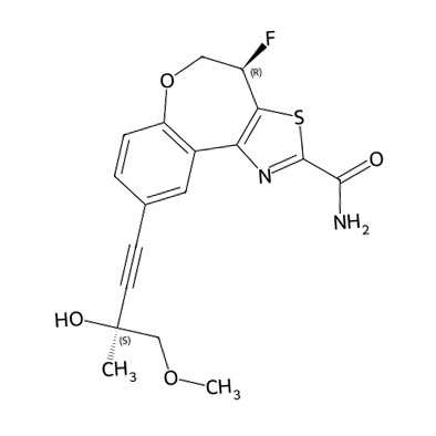 COC[C@@](C)(O)C#Cc1ccc2c(c1)-c1nc(C(N)=O)sc1[C@H](F)CO2